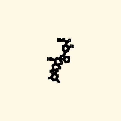 CCc1cc(CCC2(C3CCCC3)CC(O)=C(Cc3nc4nc(C)cc(C)n4n3)C(=O)O2)ccc1C(=O)NC